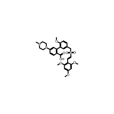 COc1cc(OC)c(C=CS(=O)(=O)Cc2ccc(OC)c(-c3cc(N4CCN(C)CC4)ccc3C(=O)O)c2)c(OC)c1